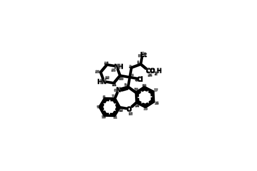 CCC(CC(Cl)(C1=Nc2ccccc2Oc2ccccc21)C1CNCCN1)C(=O)O